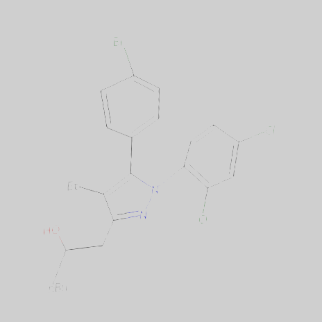 CCCCC(O)Cc1nn(-c2ccc(Cl)cc2Cl)c(-c2ccc(Br)cc2)c1CC